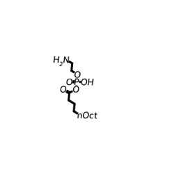 CCCCCCCCCCCC(=O)OP(=O)(O)OCCN